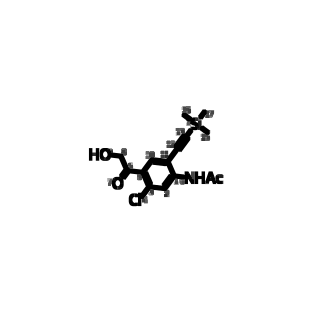 CC(=O)Nc1cc(Cl)c(C(=O)CO)cc1C#C[Si](C)(C)C